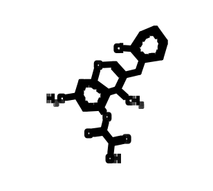 Cc1cc2c(c(OC(=O)C(=O)O)c1)C(C)C(Cc1ccccc1Cl)=CO2